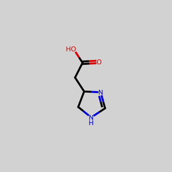 O=C(O)CC1CNC=N1